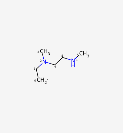 [CH2]CN(C)CCNC